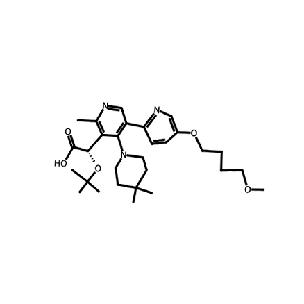 COCCCCOc1ccc(-c2cnc(C)c([C@H](OC(C)(C)C)C(=O)O)c2N2CCC(C)(C)CC2)nc1